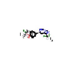 BC(B)(F)Oc1ccc(-c2cc3c(C(C)(F)F)ncn3cn2)cc1